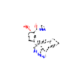 CCNC(=O)c1cc(-c2cnc3[nH]cc(-c4ccccc4OC)c3c2)ccc1O